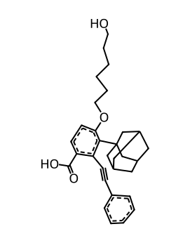 O=C(O)c1ccc(OCCCCCCO)c(C23CC4CC(CC(C4)C2)C3)c1C#Cc1ccccc1